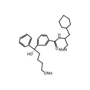 CNCC(CC1CCCCC1)NC(=O)c1cccc([C@@](O)(CCCCOC)c2ccccc2)c1